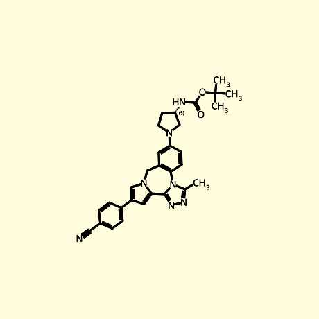 Cc1nnc2n1-c1ccc(N3CC[C@H](NC(=O)OC(C)(C)C)C3)cc1Cn1cc(-c3ccc(C#N)cc3)cc1-2